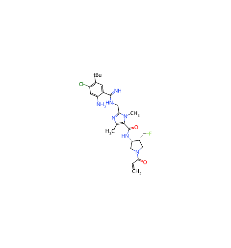 C=CC(=O)N1C[C@@H](CF)[C@@H](NC(=O)c2c(C)nc(CNC(=N)c3cc(C(C)(C)C)c(Cl)cc3N)n2C)C1